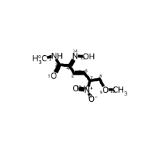 CNC(=O)C(C=CC(COC)[N+](=O)[O-])=NO